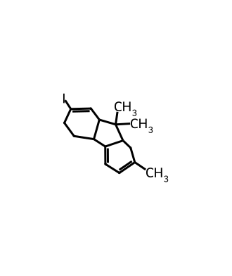 CC1=CC=C2C3CCC(I)=CC3C(C)(C)C2C1